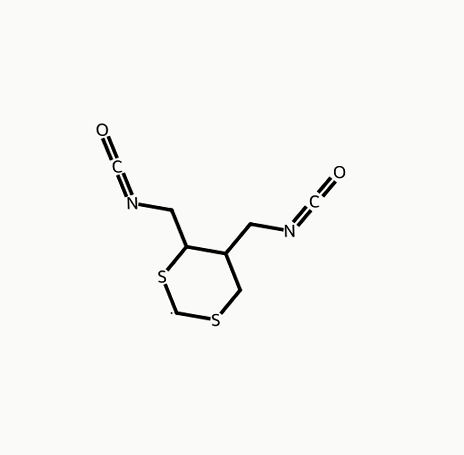 O=C=NCC1CS[CH]SC1CN=C=O